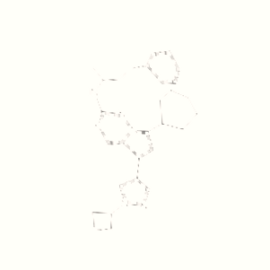 CC(COc1ccccc1)Nc1ncc2c(-c3cnn(C4COC4)c3)cc(C3CCCCC3)n2n1